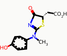 CN(C1=NC(=O)[C@H](CC(=O)O)S1)c1ccc(O)cc1